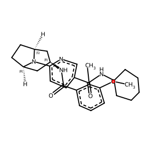 COc1cccc(C(=O)N[C@H]2C[C@H]3CC[C@@H](C2)N3c2ccc(C(=O)NC3CCCCC3)cn2)c1C